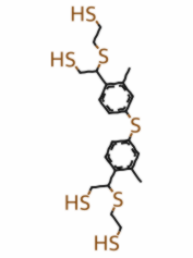 Cc1cc(Sc2ccc(C(CS)SCCS)c(C)c2)ccc1C(CS)SCCS